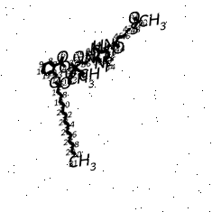 C#CC(COC(=O)c1ccccc1COC(=O)CCCCCCCCCCCCCCC)(OC)[C@@H](O)Cn1cnc2c(NC(=O)CCCSC(C)=O)nc(F)nc21